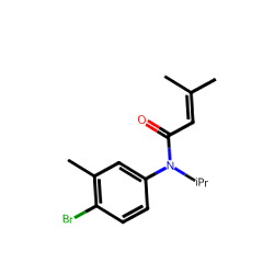 CC(C)=CC(=O)N(c1ccc(Br)c(C)c1)C(C)C